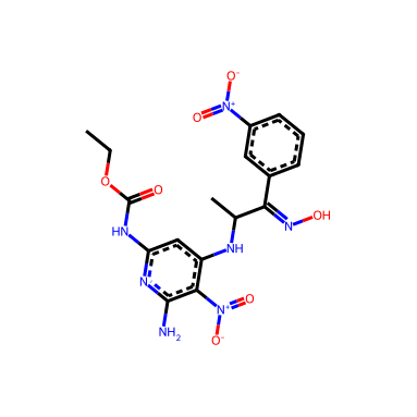 CCOC(=O)Nc1cc(NC(C)C(=NO)c2cccc([N+](=O)[O-])c2)c([N+](=O)[O-])c(N)n1